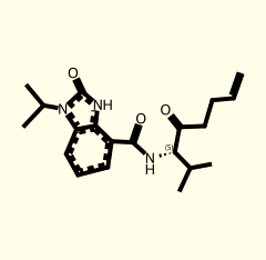 C=CCCC(=O)[C@@H](NC(=O)c1cccc2c1[nH]c(=O)n2C(C)C)C(C)C